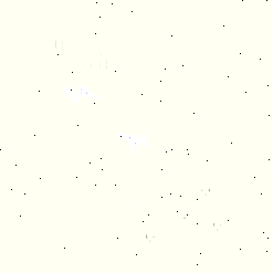 CC(=O)O.CC(=O)O.CC(=O)O.CO[Si](CCCNCCN)(OC)OC